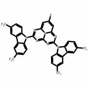 FC1=CC2=NC(n3c4ccc(C(F)(F)F)cc4c4cc(C(F)(F)F)ccc43)=NC3=NC(n4c5ccc(C(F)(F)F)cc5c5cc(C(F)(F)F)ccc54)=NC(=C1)N23